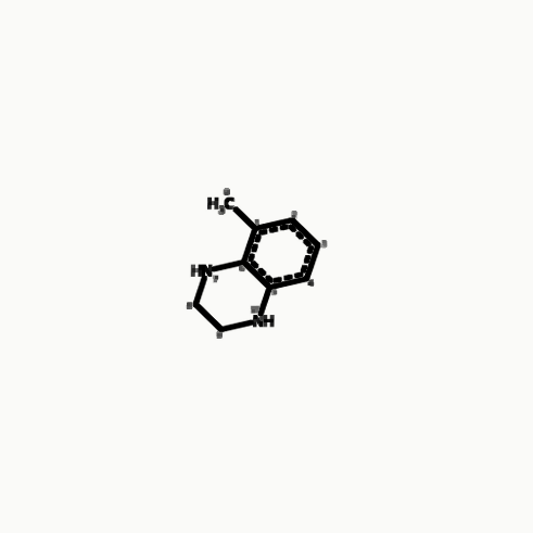 Cc1cccc2c1NCCN2